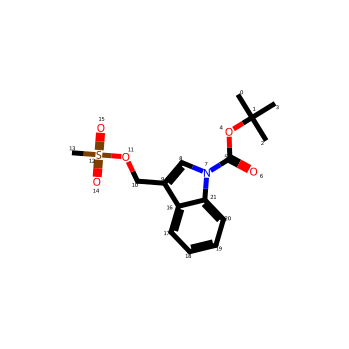 CC(C)(C)OC(=O)n1cc(COS(C)(=O)=O)c2ccccc21